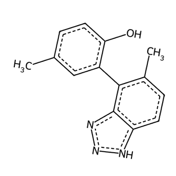 Cc1ccc(O)c(-c2c(C)ccc3[nH]nnc23)c1